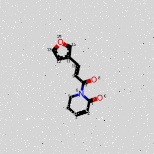 O=C1C=CCCN1C(=O)C=Cc1ccoc1